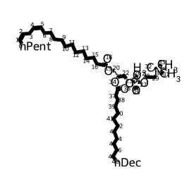 CCCCC/C=C\C/C=C\CCCCCCCCCCCC(=O)OC[C@H](COP(=O)([O-])OCC[N+](C)(C)C)OC(=O)CCCCCCCCCCCCCCCCCCCCC